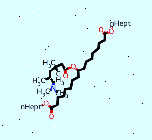 CCCCCCCOC(=O)CCCCCCCC(CCCCCCCC(=O)OCCCCCCC)OC(=O)CC(C)(C)CC(C)CN(C)C